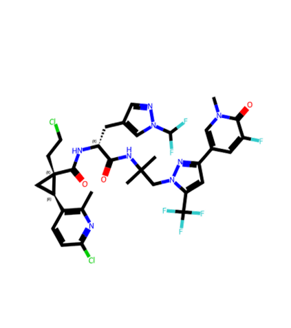 Cc1nc(Cl)ccc1[C@H]1C[C@]1(CCCl)C(=O)N[C@H](Cc1cnn(C(F)F)c1)C(=O)NC(C)(C)Cn1nc(-c2cc(F)c(=O)n(C)c2)cc1C(F)(F)F